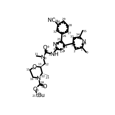 Cc1cc(-c2sc(NC(=O)N(C)C[C@@H]3OCCN(C(=O)OC(C)(C)C)[C@H]3C)nc2-c2cccc(C#N)c2)cc(C)n1